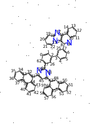 c1cc(-c2cccc(-c3nc4ccccc4c4nc5ccccn5c34)c2)cc(-c2nc(-c3cc4ccccc4c4ccccc34)cc(-c3cc4ccccc4c4ccccc34)n2)c1